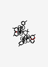 Cc1ccc(S(=O)(=O)N(CC2(C)CC(N(P(Oc3cccc(C)c3)Oc3cccc(C)c3)S(=O)(=O)c3ccc(C)cc3)CC(C)(C)C2)P(Oc2cccc(C)c2)Oc2cccc(C)c2)cc1